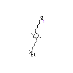 CCC(C)(C)CCCCCc1cc(C)c(CCCCCC2(I)CC2)cc1C